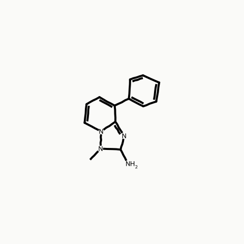 CN1C(N)N=C2C(c3ccccc3)=CC=CN21